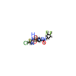 O=C(NCc1ccc(F)c(F)c1)c1ccc(S(=O)(=O)Nc2ncc(Cl)s2)cc1